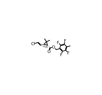 Cc1c(F)c(F)c(COC(=O)[C@@H]2[C@@H](C=CCl)C2(C)C)c(F)c1F